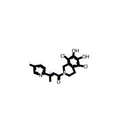 C/C(=C\C(=O)N1CCc2c(Cl)c(O)c(O)c(Cl)c2C1)c1ccc(C)cn1